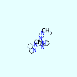 CN1CCN(Cc2c(CN(C)[C@H]3CCCc4cccnc43)nc3ccccn23)CC1